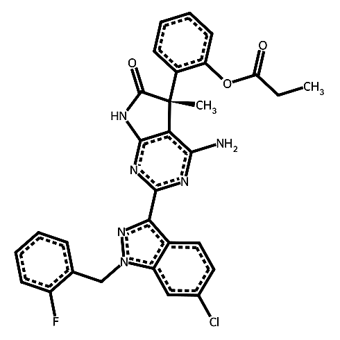 CCC(=O)Oc1ccccc1[C@@]1(C)C(=O)Nc2nc(-c3nn(Cc4ccccc4F)c4cc(Cl)ccc34)nc(N)c21